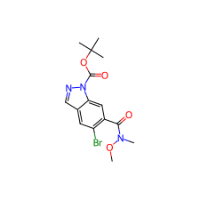 CON(C)C(=O)c1cc2c(cnn2C(=O)OC(C)(C)C)cc1Br